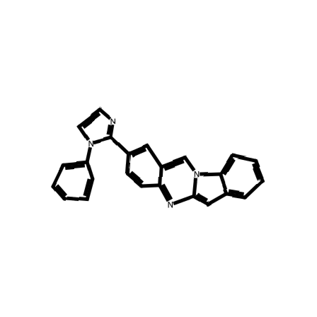 c1ccc(-n2ccnc2-c2ccc3nc4cc5ccccc5n4cc3c2)cc1